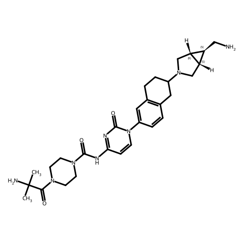 CC(C)(N)C(=O)N1CCN(C(=O)Nc2ccn(-c3ccc4c(c3)CCC(N3C[C@@H]5[C@@H](CN)[C@@H]5C3)C4)c(=O)n2)CC1